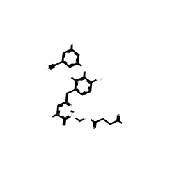 Cc1cc(Cc2ccc(Br)c(Oc3cc(Cl)cc(C#N)c3)c2F)nn(COC(=O)CCC(=O)O)c1=O